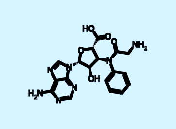 NCC(=O)N(c1ccccc1)[C@H]1[C@@H](O)[C@H](n2cnc3c(N)ncnc32)O[C@@H]1C(=O)O